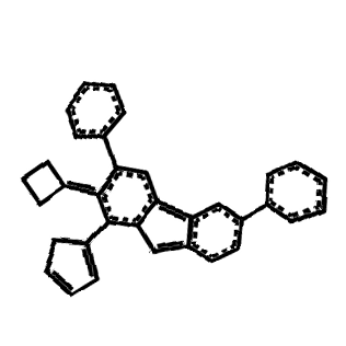 [C]1=c2ccc(-c3ccccc3)cc2=c2cc(-c3ccccc3)c(=C3CCC3)c(C3=CC=CC3)c21